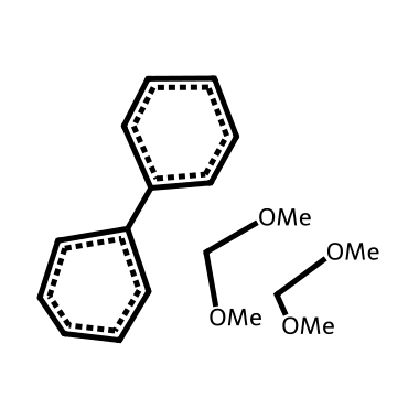 COCOC.COCOC.c1ccc(-c2ccccc2)cc1